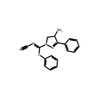 N#C/N=C(\Oc1ccccc1)N1CC(N)C(c2ccccc2)=N1